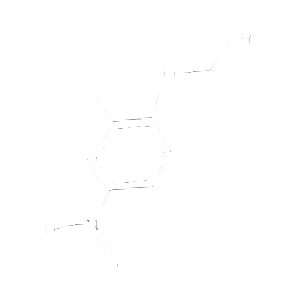 [CH2]COc1ccc([N+](=O)[O-])cc1Cl